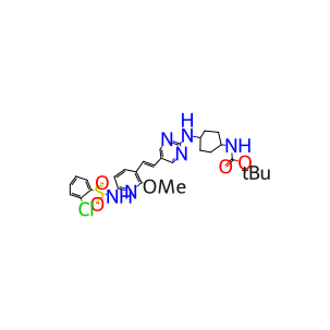 COc1nc(NS(=O)(=O)c2ccccc2Cl)ccc1/C=C/c1cnc(NC2CCC(NC(=O)OC(C)(C)C)CC2)nc1